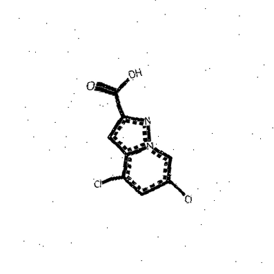 O=C(O)c1cc2c(Cl)cc(Cl)cn2n1